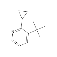 CC(C)(C)c1cccnc1C1CC1